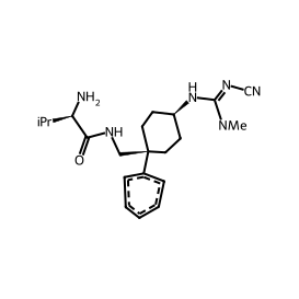 CN/C(=N\C#N)N[C@H]1CC[C@](CNC(=O)[C@H](N)C(C)C)(c2ccccc2)CC1